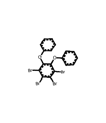 Brc1c(Br)c(Br)c(Oc2ccccc2)c(Oc2ccccc2)c1Br